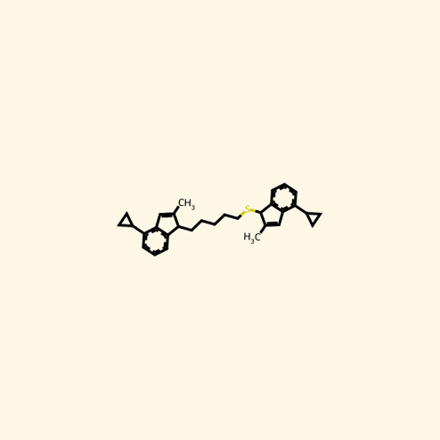 CC1=Cc2c(C3CC3)cccc2C1CCCCCSC1C(C)=Cc2c(C3CC3)cccc21